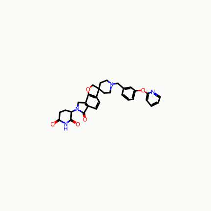 O=C1CCC(N2Cc3c(ccc4c3OCC43CCN(Cc4cccc(Oc5ccccn5)c4)CC3)C2=O)C(=O)N1